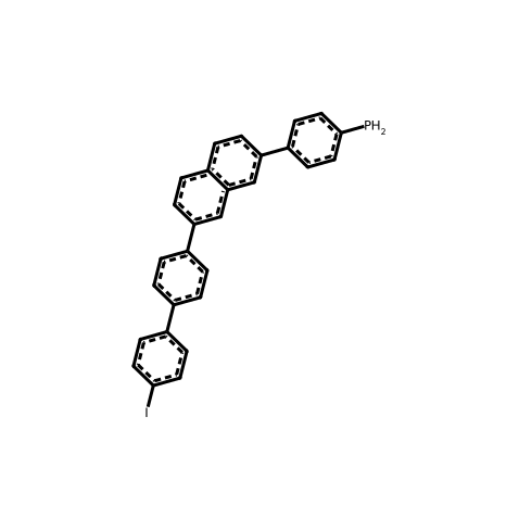 Pc1ccc(-c2ccc3ccc(-c4ccc(-c5ccc(I)cc5)cc4)cc3c2)cc1